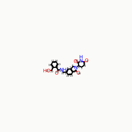 O=C1CCC(N2Cc3cc(CNC(=O)c4ccccc4CO)ccc3C2=O)C(=O)N1